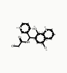 O=C(CCl)NC(c1cccnc1)c1cc(Cl)c2cccnc2c1O